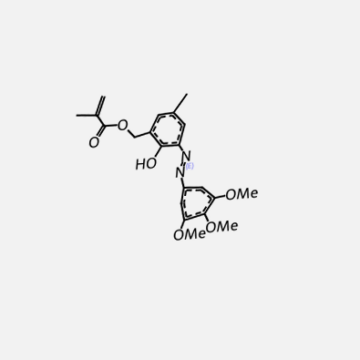 C=C(C)C(=O)OCc1cc(C)cc(/N=N/c2cc(OC)c(OC)c(OC)c2)c1O